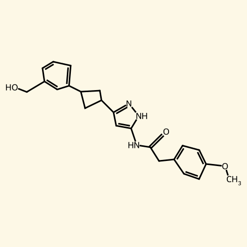 COc1ccc(CC(=O)Nc2cc(C3CC(c4cccc(CO)c4)C3)n[nH]2)cc1